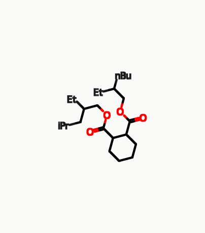 CCCCC(CC)COC(=O)C1CCCCC1C(=O)OCC(CC)CC(C)C